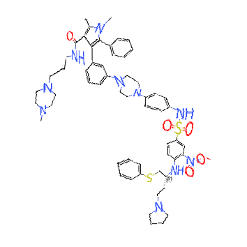 Cc1c(C(=O)NCCCN2CCN(C)CC2)c(-c2cccc(N3CCN(c4ccc(NS(=O)(=O)c5ccc(N[C@H](CCN6CCCC6)CSc6ccccc6)c([N+](=O)[O-])c5)cc4)CC3)c2)c(-c2ccccc2)n1C